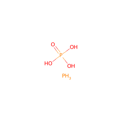 O=P(O)(O)O.P